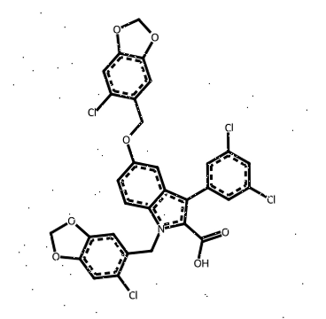 O=C(O)c1c(-c2cc(Cl)cc(Cl)c2)c2cc(OCc3cc4c(cc3Cl)OCO4)ccc2n1Cc1cc2c(cc1Cl)OCO2